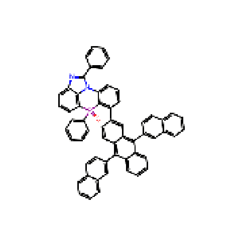 O=P1(c2ccccc2)c2c(-c3ccc4c(-c5ccc6ccccc6c5)c5ccccc5c(-c5ccc6ccccc6c5)c4c3)cccc2-n2c(-c3ccccc3)nc3cccc1c32